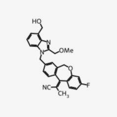 COCc1nc2c(CO)cccc2n1Cc1ccc2c(c1)COc1cc(F)ccc1/C2=C(\C)C#N